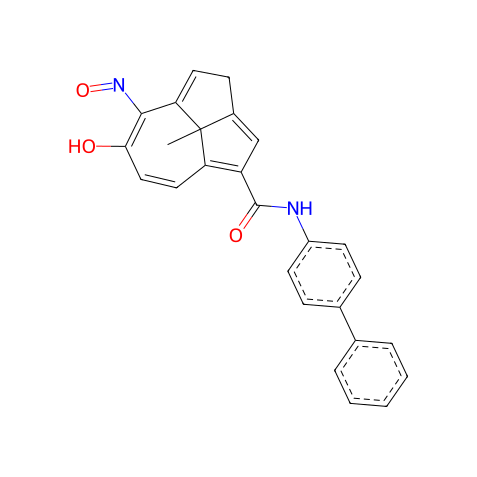 CC12C3=CC(C(=O)Nc4ccc(-c5ccccc5)cc4)=C1C=CC(O)=C(N=O)C2=CC3